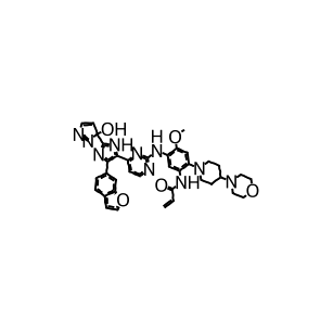 C=CC(=O)Nc1cc(Nc2nccc(-c3[nH]c(C4(O)C=CN=N4)nc3-c3ccc4ccoc4c3)n2)c(OC)cc1N1CCC(N2CCOCC2)CC1